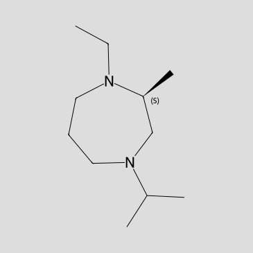 CCN1CCCN(C(C)C)C[C@@H]1C